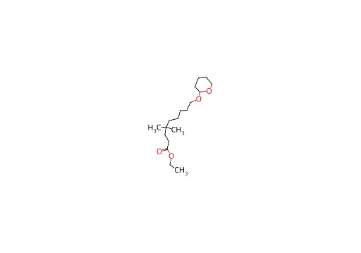 CCOC(=O)CCC(C)(C)CCCCCOC1CCCCO1